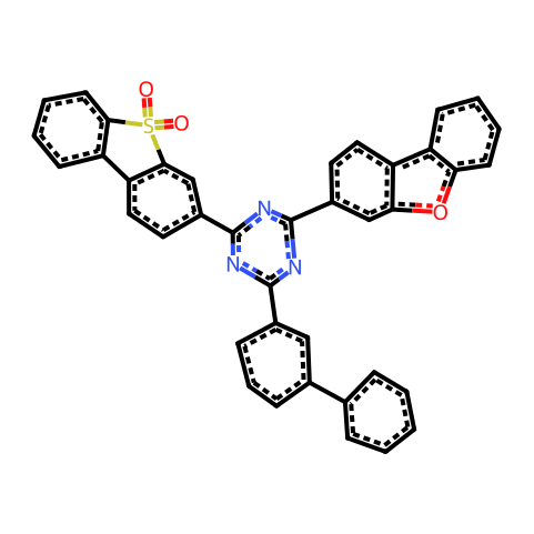 O=S1(=O)c2ccccc2-c2ccc(-c3nc(-c4cccc(-c5ccccc5)c4)nc(-c4ccc5c(c4)oc4ccccc45)n3)cc21